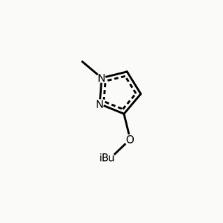 CCC(C)Oc1ccn(C)n1